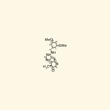 COc1cc(CNc2ncnc3c2sc2ncc(Cl)c(C)c23)cc(OC)c1